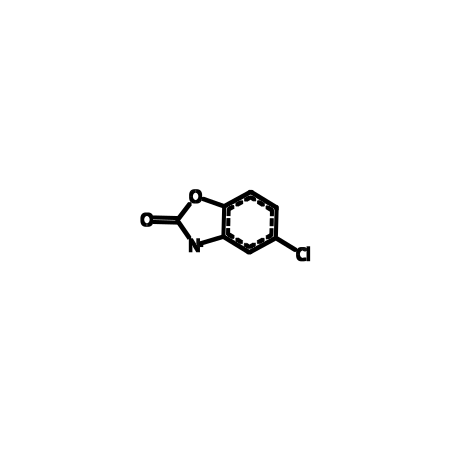 O=C1[N]c2cc(Cl)ccc2O1